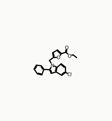 CCOC(=O)c1ccc(Cn2c(-c3ccccc3)cc3cc(Cl)ccc32)o1